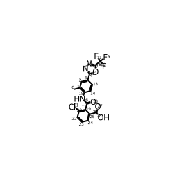 Cc1cc(-c2nnc(C(F)(F)F)o2)ccc1NC(=O)c1c(Cl)cccc1C(=O)O